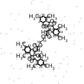 Cc1cc(C)c(C(=O)P(=O)(CCC(=O)OCCOC(=O)CCP(=O)(C(=O)c2c(C)cc(C)cc2C)C(=O)c2c(C)cc(C)cc2C)C(=O)c2c(C)cc(C)cc2C)c(C)c1